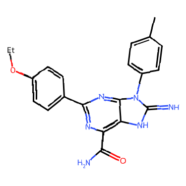 CCOc1ccc(-c2nc(C(N)=O)c3[nH]c(=N)n(-c4ccc(C)cc4)c3n2)cc1